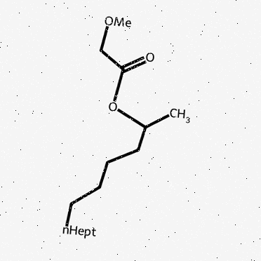 CCCCCCCCCCCC(C)OC(=O)COC